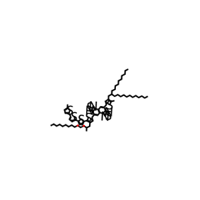 CCCCCCCCCCCCC(C)Cc1cc(-c2cc3c(cc(-c4cc(CC(CCCCCCCCCC)CCCCCCCCCCCC)c(C)s4)c4nsnc43)c3nsnc23)sc1-c1ccc(-c2ccc(-c3ccc(C)s3)s2)s1